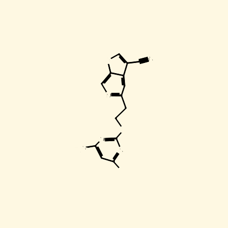 N#Cc1coc2cnc(CCSc3nc(N)cc(Cl)n3)cc12